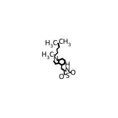 CC(C)=CCCC(C)n1ccc2c(C=C3NC(=O)SC3=O)cccc21